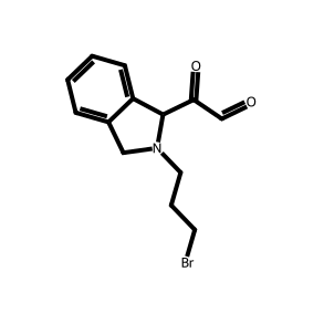 O=CC(=O)C1c2ccccc2CN1CCCBr